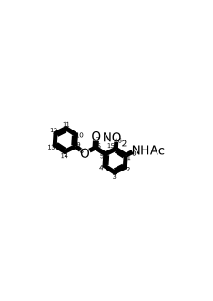 CC(=O)Nc1cccc(C(=O)Oc2ccccc2)c1[N+](=O)[O-]